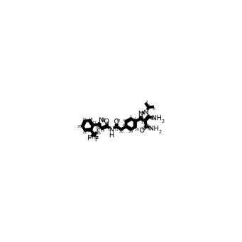 CC(C)n1nc(-c2ccc(CC(=O)Nc3cc(-c4ccccc4C(F)(F)F)no3)cc2)c(C(N)=O)c1N